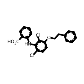 O=C(O)c1ccccc1Nc1c(Cl)ccc(OCCc2ccccc2)c1Cl